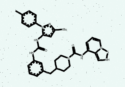 Cc1ccc(-n2nc(C(C)(C)C)cc2NC(=O)Nc2cccc(CC3CCN(C(=O)NC4=CC=CN5SNC=C45)CC3)c2)cc1